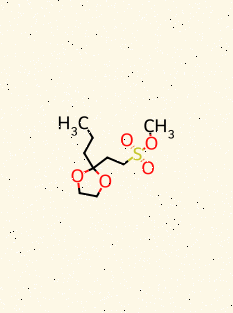 CCCC1(CCS(=O)(=O)OC)OCCO1